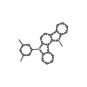 Cc1cc(C)cc(-n2c3ccccc3c3c4c(ccc32)c2ccccc2n4C)c1